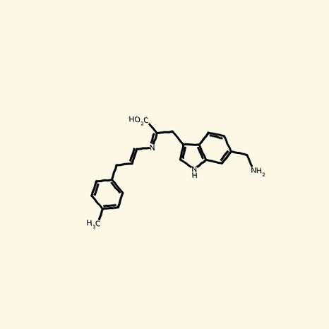 Cc1ccc(CC=CN=C(Cc2c[nH]c3cc(CN)ccc23)C(=O)O)cc1